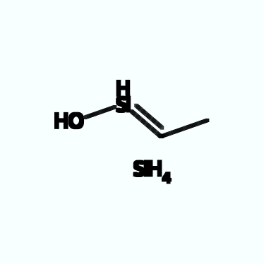 CC=[SiH]O.[SiH4]